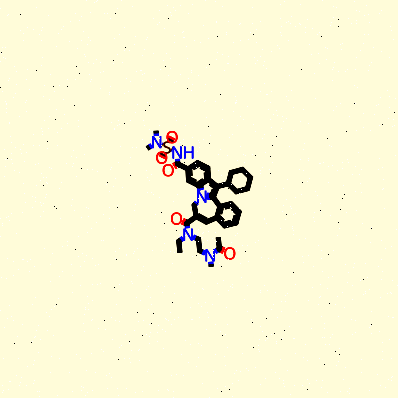 CCN(CCN(C)C(C)=O)C(=O)C1=Cc2ccccc2-c2c(C3CCCCC3)c3ccc(C(=O)NS(=O)(=O)N(C)C)cc3n2C1